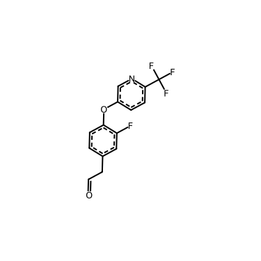 O=CCc1ccc(Oc2ccc(C(F)(F)F)nc2)c(F)c1